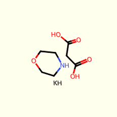 C1COCCN1.O=C(O)CC(=O)O.[KH]